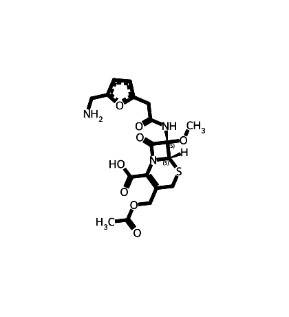 CO[C@@]1(NC(=O)Cc2ccc(CN)o2)C(=O)N2C(C(=O)O)=C(COC(C)=O)CS[C@H]21